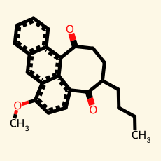 CCCCC1CCC(=O)c2c3ccccc3cc3c(OC)ccc(c23)C1=O